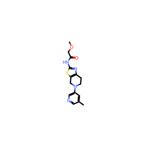 COCC(=O)Nc1nc2c(s1)CN(c1cncc(C)c1)CC2